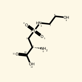 N[C@@H](CS(=O)(=O)NCCO)C(=O)O